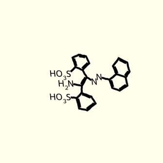 NC(=C(N=Nc1cccc2ccccc12)c1ccccc1S(=O)(=O)O)c1ccccc1S(=O)(=O)O